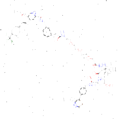 COc1cnc(C(=O)NCc2cccc(CC(=O)NCCOCCOCCOCC(=O)NC(C(=O)N3CC(O)CC3C(=O)NCc3ccc(-c4scnc4C)cc3)C(C)(C)C)c2)cc1C=CC1CCC(C(F)(F)F)CC1